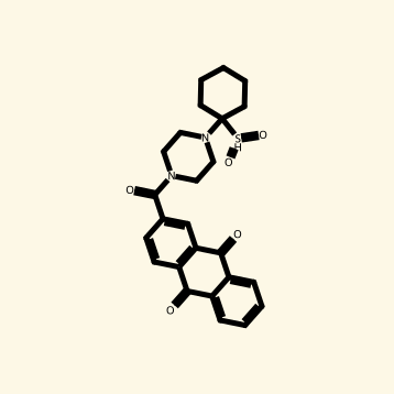 O=C1c2ccccc2C(=O)c2cc(C(=O)N3CCN(C4([SH](=O)=O)CCCCC4)CC3)ccc21